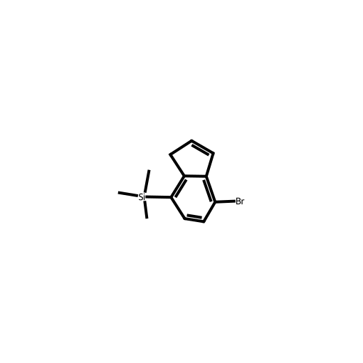 C[Si](C)(C)c1ccc(Br)c2c1CC=C2